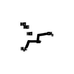 C[CH2][Sb][CH2]C.Cl.Cl.Cl